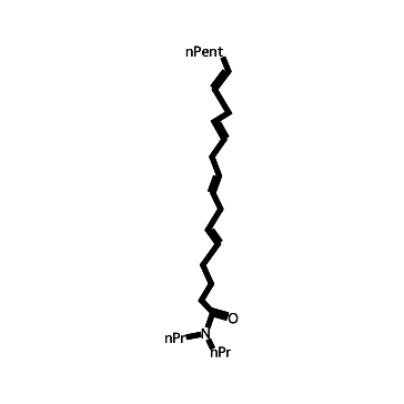 CCCCCC=CCC=CCC=CCC=CCCCC(=O)N(CCC)CCC